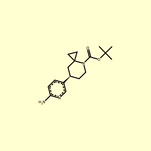 CC(C)(C)OC(=O)N1CC[C@@H](c2ccc(N)nc2)CC12CC2